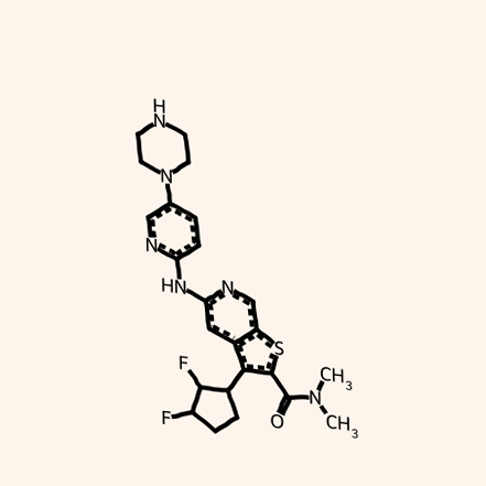 CN(C)C(=O)c1sc2cnc(Nc3ccc(N4CCNCC4)cn3)cc2c1C1CCC(F)C1F